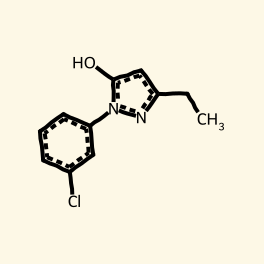 CCc1cc(O)n(-c2cccc(Cl)c2)n1